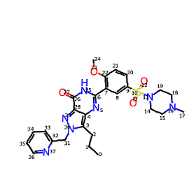 CCCc1c2nc(-c3cc(S(=O)(=O)N4CCN(C)CC4)ccc3OC)[nH]c(=O)c2nn1Cc1ccccn1